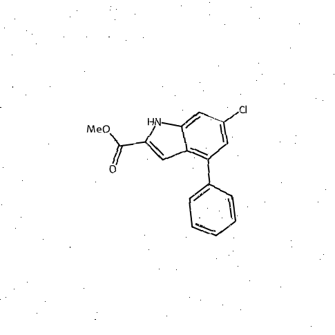 COC(=O)c1cc2c(-c3ccccc3)cc(Cl)cc2[nH]1